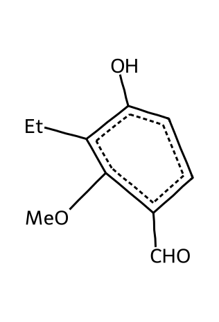 CCc1c(O)ccc(C=O)c1OC